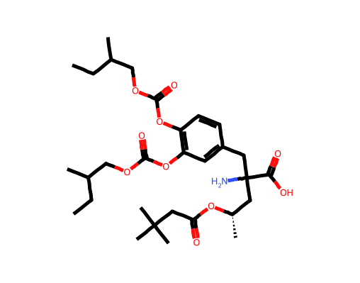 CCC(C)COC(=O)Oc1ccc(CC(N)(C[C@H](C)OC(=O)CC(C)(C)C)C(=O)O)cc1OC(=O)OCC(C)CC